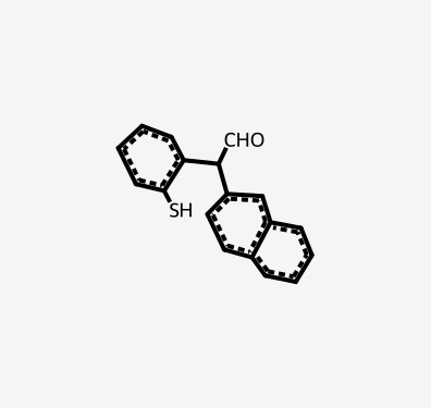 O=CC(c1ccc2ccccc2c1)c1ccccc1S